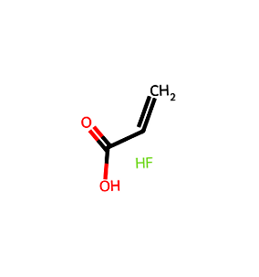 C=CC(=O)O.F